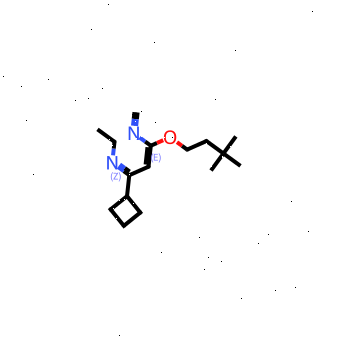 C=N/C(=C\C(=N/CC)C1CCC1)OCCC(C)(C)C